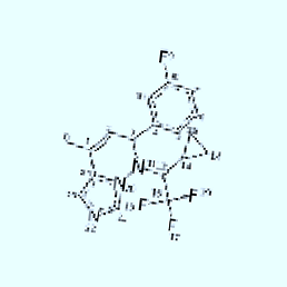 CC1=CC(c2cccc(F)c2)N(C(C2CC2)C(F)(F)F)n2cncc21